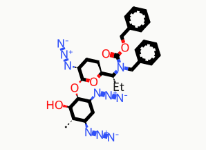 CC[C@H]([C@@H]1CC[C@@H](N=[N+]=[N-])[C@@H](O[C@H]2[C@H](O)[C@@H](C)[C@H](N=[N+]=[N-])C[C@@H]2N=[N+]=[N-])O1)N(Cc1ccccc1)C(=O)OCc1ccccc1